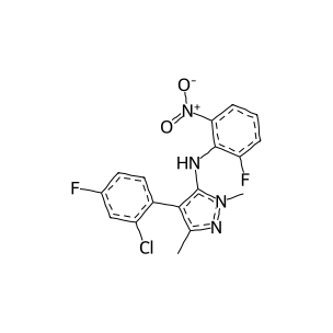 Cc1nn(C)c(Nc2c(F)cccc2[N+](=O)[O-])c1-c1ccc(F)cc1Cl